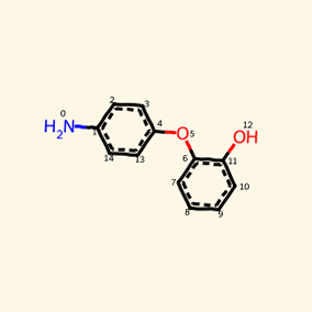 Nc1ccc(Oc2ccccc2O)cc1